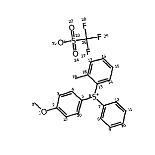 COc1ccc([S+](c2ccccc2)c2ccccc2C)cc1.O=S(=O)([O-])C(F)(F)F